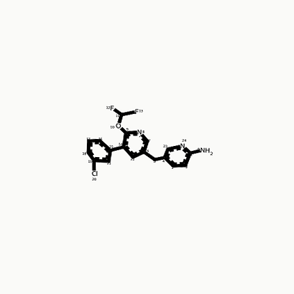 Nc1ccc(Cc2cnc(OC(F)F)c(-c3cccc(Cl)c3)c2)cn1